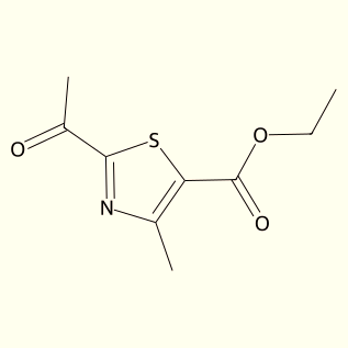 CCOC(=O)c1sc(C(C)=O)nc1C